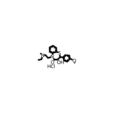 CCN(C)CCN1C(=O)C(O)C(c2ccc(OC)cc2)Sc2ccccc21.Cl